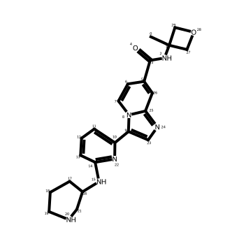 CC1(NC(=O)c2ccn3c(-c4cccc(NC5CCCNC5)n4)cnc3c2)COC1